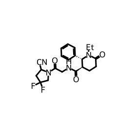 CCN1C(=O)CC[C@@H](C(=O)NCC(=O)N2CC(F)(F)CC2C#N)[C@@H]1c1ccccc1